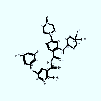 CN1CCN(c2ccc(C(=O)NC(=N)c3cc(Sc4cc(F)cc(F)c4)cnc3N)c(NC3CCC(F)(F)CC3)c2)CC1